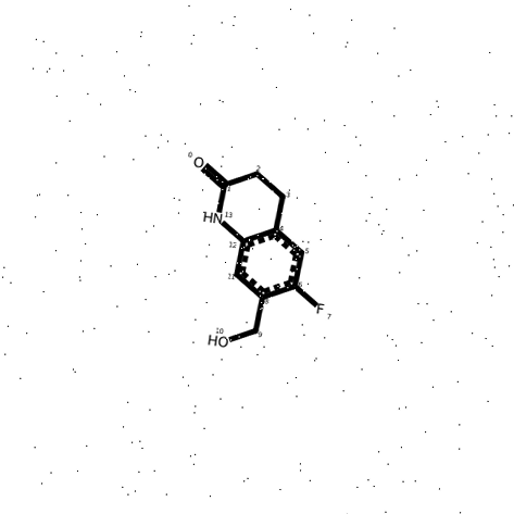 O=C1CCc2cc(F)c(CO)cc2N1